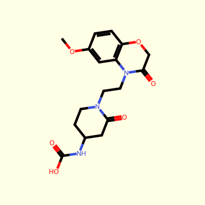 COc1ccc2c(c1)N(CCN1CCC(NC(=O)O)CC1=O)C(=O)CO2